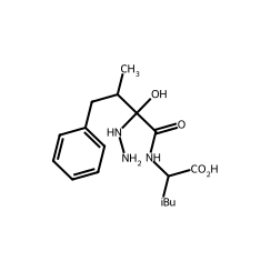 CCC(C)C(NC(=O)C(O)(NN)C(C)Cc1ccccc1)C(=O)O